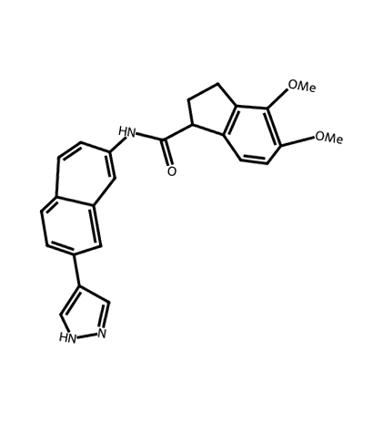 COc1ccc2c(c1OC)CCC2C(=O)Nc1ccc2ccc(-c3cn[nH]c3)cc2c1